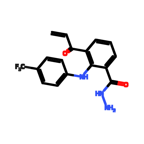 C=CC(=O)c1cccc(C(=O)NN)c1Nc1ccc(C(F)(F)F)cc1